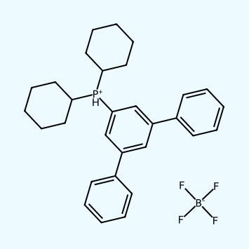 F[B-](F)(F)F.c1ccc(-c2cc(-c3ccccc3)cc([PH+](C3CCCCC3)C3CCCCC3)c2)cc1